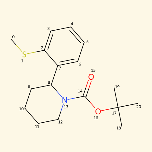 CSc1ccccc1C1CCCCN1C(=O)OC(C)(C)C